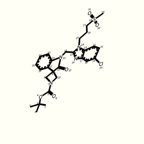 CC(C)(C)OC(=O)N1CC2(C1)C(=O)N(Cc1nc3cc(Cl)ccc3n1CCCS(C)(=O)=O)c1ccccc12